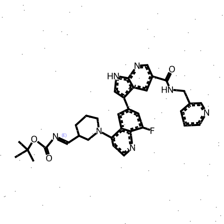 CC(C)(C)OC(=O)/N=C/C1CCCN(c2ccnc3c(F)cc(-c4c[nH]c5ncc(C(=O)NCc6cccnc6)cc45)cc23)C1